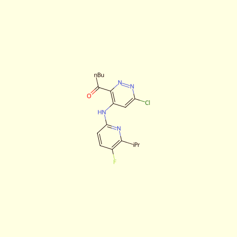 CCCCC(=O)c1nnc(Cl)cc1Nc1ccc(F)c(C(C)C)n1